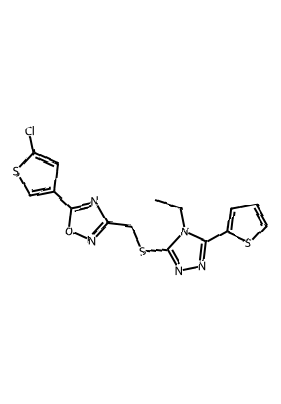 CCn1c(SCc2noc(-c3csc(Cl)c3)n2)nnc1-c1cccs1